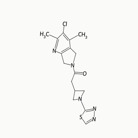 Cc1nc2c(c(C)c1Cl)CN(C(=O)CC1CN(c3nncs3)C1)C2